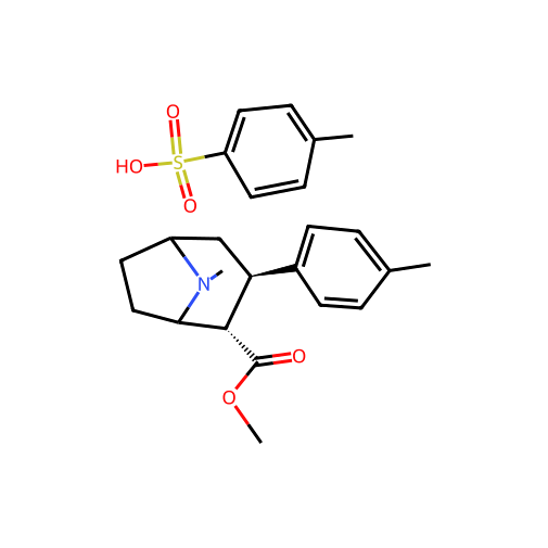 COC(=O)[C@@H]1C2CCC(C[C@H]1c1ccc(C)cc1)N2C.Cc1ccc(S(=O)(=O)O)cc1